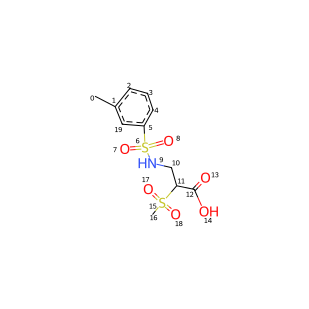 Cc1cccc(S(=O)(=O)NCC(C(=O)O)S(C)(=O)=O)c1